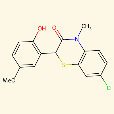 COc1ccc(O)c(C2Sc3cc(Cl)ccc3N(C)C2=O)c1